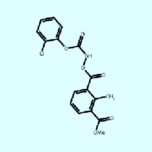 COC(=O)c1cccc(C(=O)ONC(=O)Oc2ccccc2Cl)c1C